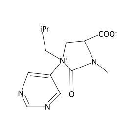 CC(C)C[N+]1(c2cncnc2)CC(C(=O)[O-])N(C)C1=O